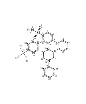 NS(=O)(=O)c1ccc(-c2ccccc2)c(N2CCN(c3ncccn3)CC2)c1-c1cnc(C(F)(F)F)nc1